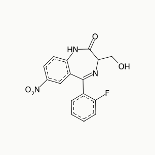 O=C1Nc2ccc([N+](=O)[O-])cc2C(c2ccccc2F)=NC1CO